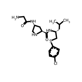 CC(C)C[C@H](CSc1ccc(Cl)cc1)NC(=O)[C@@H]1C[C@@H](NC(=O)CN)CN1